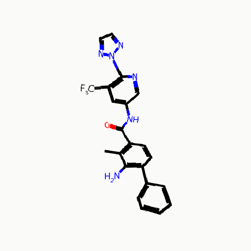 Cc1c(C(=O)Nc2cnc(-n3nccn3)c(C(F)(F)F)c2)ccc(-c2ccccc2)c1N